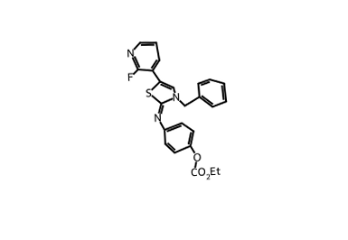 CCOC(=O)Oc1ccc(N=c2sc(-c3cccnc3F)cn2Cc2ccccc2)cc1